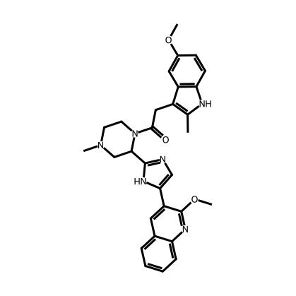 COc1ccc2[nH]c(C)c(CC(=O)N3CCN(C)CC3c3ncc(-c4cc5ccccc5nc4OC)[nH]3)c2c1